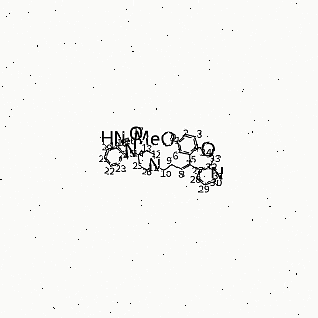 COc1ccc2c(c1)C(=CCCN1CCC(n3c(=O)[nH]c4ccccc43)CC1)c1cccnc1CO2